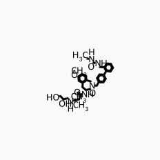 CCNC(=O)NCc1ccccc1-c1ccc(CN2Cc3ccc(OC)cc3C[C@@H](NC(=O)CC(C)(C)NC[C@H](O)CO)C2=O)cc1